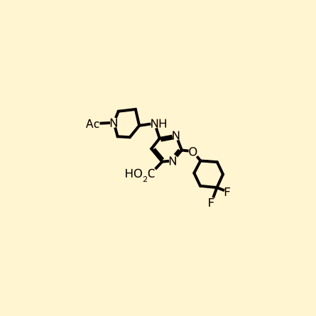 CC(=O)N1CCC(Nc2cc(C(=O)O)nc(OC3CCC(F)(F)CC3)n2)CC1